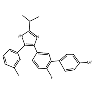 Cc1cccc(-c2[nH]c(C(C)C)nc2-c2ccc(F)c(-c3ccc(O)cc3)c2)n1